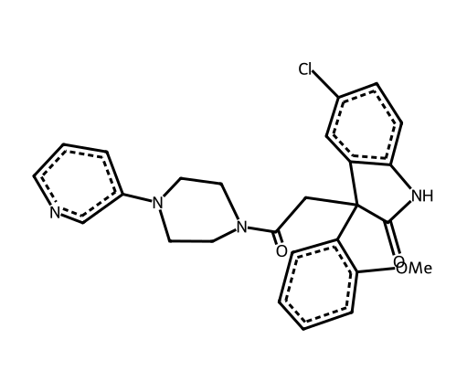 COc1ccccc1C1(CC(=O)N2CCN(c3cccnc3)CC2)C(=O)Nc2ccc(Cl)cc21